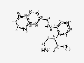 FC(F)(F)C1CNCCN1c1ccncc1NCc1ccc2nccnc2c1